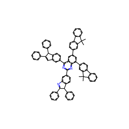 CC1(C)c2ccccc2-c2ccc(-c3cc(-c4ccc5c(c4)C(C)(C)c4ccccc4-5)c4nc(-c5ccc6c(c5)N=C(c5ccccc5)C6c5ccccc5)nc(-c5ccc6c(c5)C=C(c5ccccc5)C6c5ccccc5)c4c3)cc21